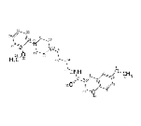 COc1ccc2c(c1)C=C(C(=O)NCCCCN1CCN(c3ccccc3OC)CC1)CO2